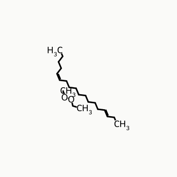 CC/C=C/CCCCCCCC/C=C\CCCC.CCOOC